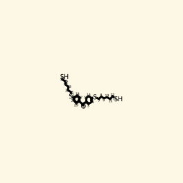 O=C(C1=CC=C(SCCCCCCS)CC1)c1ccc(SCCCCCCS)cc1